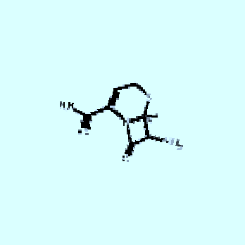 NC(=O)C1=CCS[C@@H]2C(N)C(=O)N12